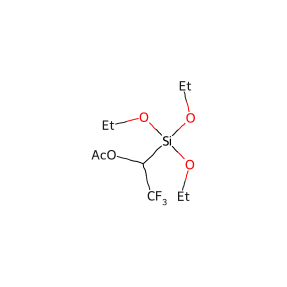 CCO[Si](OCC)(OCC)C(OC(C)=O)C(F)(F)F